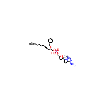 CCCCCCCCCCCCCCC#CC[C@H](COP(=O)(O)OC[C@@H]1CC[C@](C#N)(c2ccc3c(N)ncnn23)O1)OCc1ccccc1